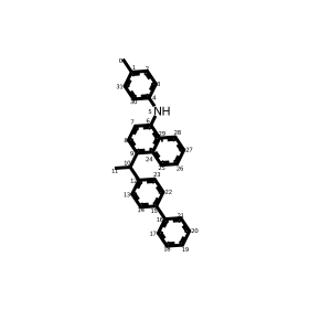 Cc1ccc(Nc2ccc(C(C)c3ccc(-c4ccccc4)cc3)c3ccccc23)cc1